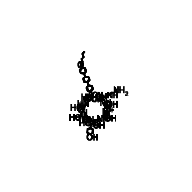 CCCCCOc1ccc(-c2ccc(-c3ccc(C(=O)N[C@H]4C[C@@H](O)[C@@H](N(N)CCNCCN)NC(=O)C5[C@@H](O)[C@@H](C)CN5C(=O)C([C@@H](C)O)NC(=O)C([C@H](O)[C@@H](O)C5=CCC(O)C=C5)NC(=O)C5C[C@@H](O)CN5C(=O)C([C@@H](C)O)NC4=O)cc3)cc2)cc1